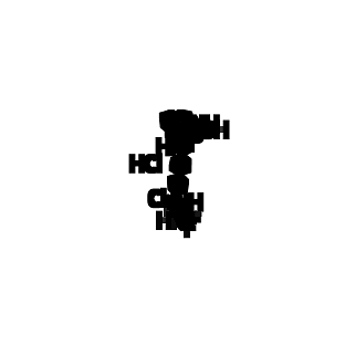 Cl.O=C(O)N[C@H]1CCc2cccc3c2N(C1=O)[C@H](c1ncc(-c2ccc(-c4ccc(-c5[nH]c([C@@H]6CC(F)(F)CN6)nc5Cl)cc4)cc2)[nH]1)C3